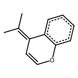 CC(C)=C1C=COc2ccccc21